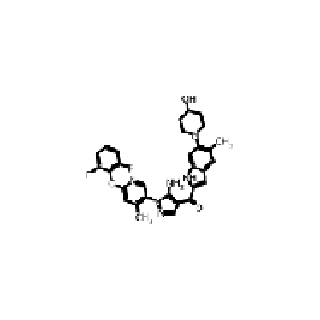 Cc1cc2cc(C(=O)c3cnn(-c4cnc(Oc5c(F)cccc5F)cc4C)c3N)[nH]c2cc1N1CCC(O)CC1